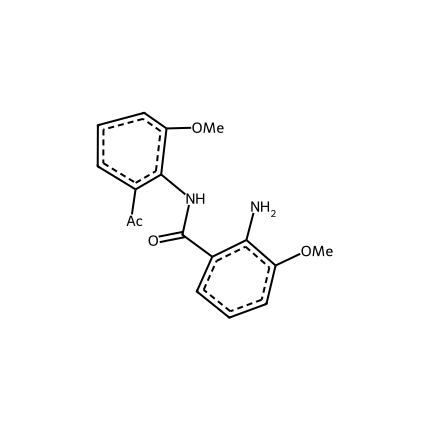 COc1cccc(C(=O)Nc2c(OC)cccc2C(C)=O)c1N